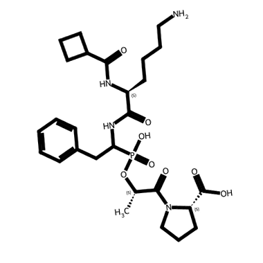 C[C@H](OP(=O)(O)C(Cc1ccccc1)NC(=O)[C@H](CCCCN)NC(=O)C1CCC1)C(=O)N1CCC[C@H]1C(=O)O